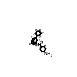 NC1CCC(C(=O)NC23CC4CC2CC(c2ccccc2)(C4)C3)CC1